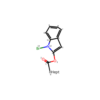 CCCCCCCC(=O)Oc1cc2ccccc2n1Br